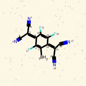 Bc1c(F)c(=C(C#N)C#N)c(F)c(F)c1=C(C#N)C#N